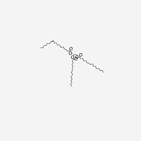 CCCCCC/C=C\CCCCCCCCCC(=O)OC[C@H](COC(=O)CCCCCCCCCCCCCCC)OC(=O)CCCCCCCCCCCCCC